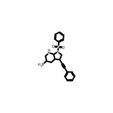 BC1CNC2C(C1)C(C#Cc1ccccc1)CN2S(=O)(=O)c1ccccc1